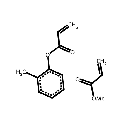 C=CC(=O)OC.C=CC(=O)Oc1ccccc1C